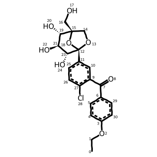 CCOc1ccc(C(=O)c2cc([C@]34OC[C@](CO)(O3)[C@@H](O)[C@H](O)[C@H]4O)ccc2Cl)cc1